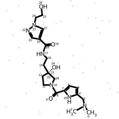 CN(C)Cc1ccc(C(=O)N2CC[C@@](O)(CCNC(=O)c3cnn(CCO)c3)C2)[nH]1